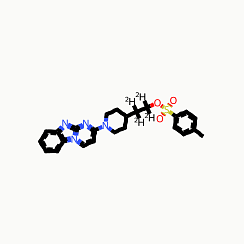 [2H]C([2H])(OS(=O)(=O)c1ccc(C)cc1)C([2H])([2H])C1CCN(c2ccn3c(n2)nc2ccccc23)CC1